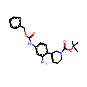 CC(C)(C)OC(=O)N1CCC=C(c2ccc(NC(=O)OCc3ccccc3)cc2N)C1